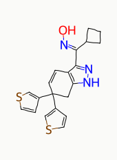 ON=C(c1n[nH]c2c1C=CC(c1ccsc1)(c1ccsc1)C2)C1CCC1